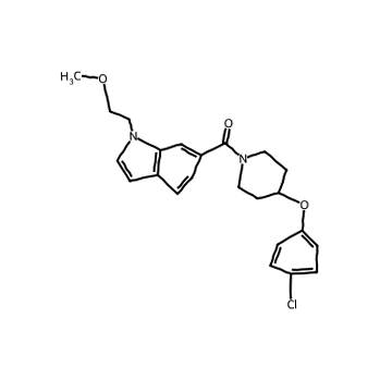 COCCn1ccc2ccc(C(=O)N3CCC(Oc4ccc(Cl)cc4)CC3)cc21